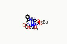 COC(=O)[C@@H](Cc1c[nH]c2ccccc12)NC(=O)[C@@H](CC(C)C)NC(=O)N(CC(=O)OC(C)(C)C)C1CCCC1